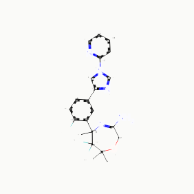 CC1(C)OCC(N)=NC(C)(c2cc(-c3cn(-c4ccccn4)cn3)ccc2F)C1(F)F